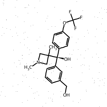 CN1CC(C)([C@](O)(c2ccc(OC(F)(F)F)cc2)c2cccc(CO)c2)C1